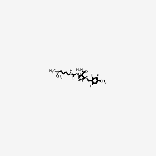 Cc1cc(F)c(COc2nsc(NC(=O)NCCCCN(C)C)c2C(N)=O)c(F)c1F